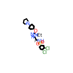 CCn1c(Oc2ccc(N3CCCCC3)cc2)nnc1[C@@H](C)NS(=O)(=O)c1ccc(Cl)c(Cl)c1